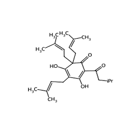 CC(C)=CCC1=C(O)C(CC=C(C)C)(CC=C(C)C)C(=O)C(C(=O)CC(C)C)=C1O